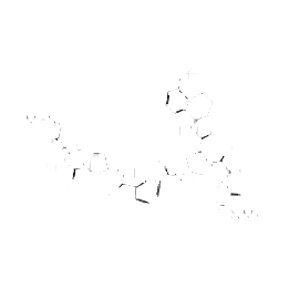 CN[C@@H](C)C(=O)N[C@H](C(=O)N1C[C@@H](NC(=O)c2cccc(C(=O)N[C@H]3C[C@@H](C(=O)N[C@@H]4CCCc5c(O)cccc54)N(C(=O)[C@@H](NC(=O)[C@H](C)NC)C(C)(C)C)C3)c2)C[C@H]1C=O)C(C)(C)C